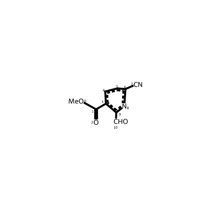 COC(=O)c1ccc(C#N)nc1C=O